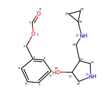 O=COCc1ccccc1.OC1CNCC1CNC1CC1